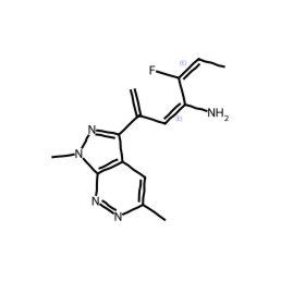 C=C(/C=C(N)\C(F)=C/C)c1nn(C)c2nnc(C)cc12